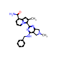 Cc1cc2c(C(N)=O)cccn2c1-c1nc2c(c(NCc3ccccc3)n1)CN(C)C2